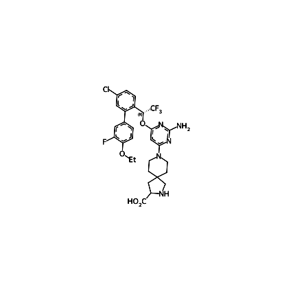 CCOc1ccc(-c2cc(Cl)ccc2[C@@H](Oc2cc(N3CCC4(CC3)CNC(C(=O)O)C4)nc(N)n2)C(F)(F)F)cc1F